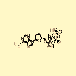 Nc1ncnc2c1ncn2C1CC[C@@H](COP(=O)(O)OP(=O)(O)OP(=O)(O)O)O1